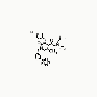 C=CCN(C)CC(=O)N1[C@@H](C)CN(Cc2cccc(-c3nnn[nH]3)c2)C(=O)[C@@H]1Cc1ccc(O)cc1